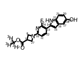 [3H]C([3H])([3H])OC(=O)C1CN(c2ccc(-c3cc4cc(O)ccc4[nH]3)c(F)n2)C1